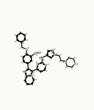 COc1cc(-c2nc3ccccn3c2-c2ccnc(Nc3cnn(CCN4CCOCC4)c3)n2)ccc1OCc1ccccc1